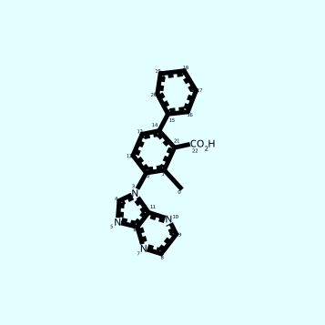 Cc1c(-n2cnc3nccnc32)ccc(-c2ccccc2)c1C(=O)O